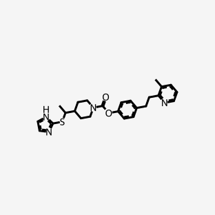 Cc1cccnc1CCc1ccc(OC(=O)N2CCC(C(C)Sc3ncc[nH]3)CC2)cc1